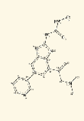 CCNC(=O)Nc1nc2cc(-c3cccnc3)cc(C(=O)CN(C)C)n2n1